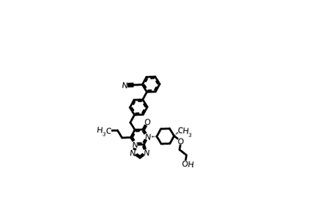 CCCc1c(Cc2ccc(-c3ccccc3C#N)cc2)c(=O)n([C@H]2CC[C@](C)(OCCO)CC2)c2ncnn12